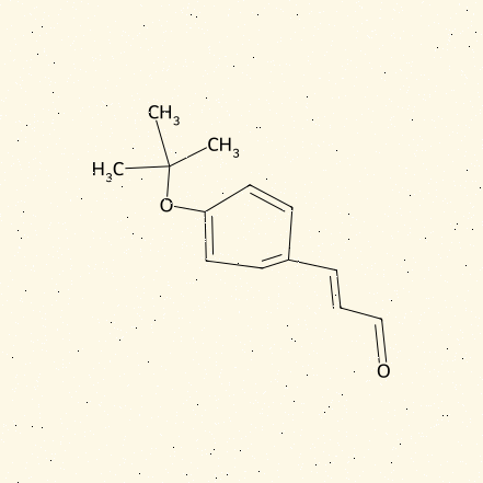 CC(C)(C)Oc1ccc(/C=C/C=O)cc1